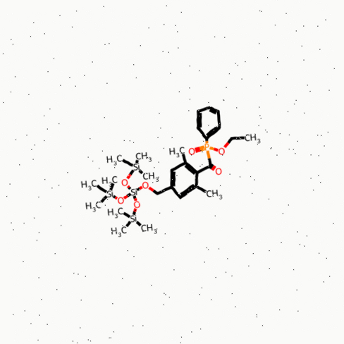 CCOP(=O)(C(=O)c1c(C)cc(CO[Si](O[Si](C)(C)C)(O[Si](C)(C)C)O[Si](C)(C)C)cc1C)c1ccccc1